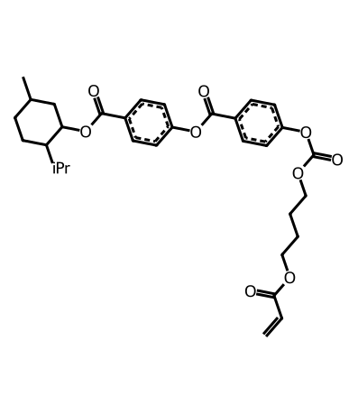 C=CC(=O)OCCCCOC(=O)Oc1ccc(C(=O)Oc2ccc(C(=O)OC3CC(C)CCC3C(C)C)cc2)cc1